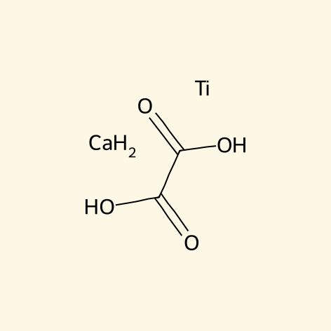 O=C(O)C(=O)O.[CaH2].[Ti]